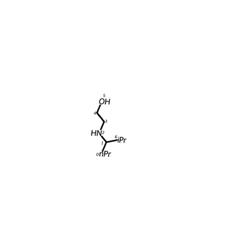 CCCC(NCCO)C(C)C